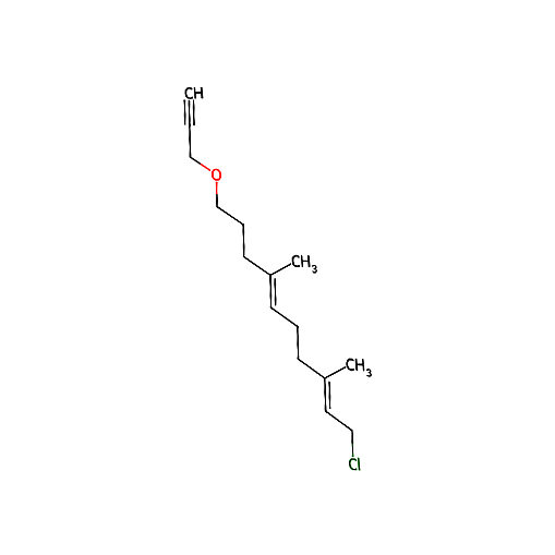 C#CCOCCC/C(C)=C/CC/C(C)=C/CCl